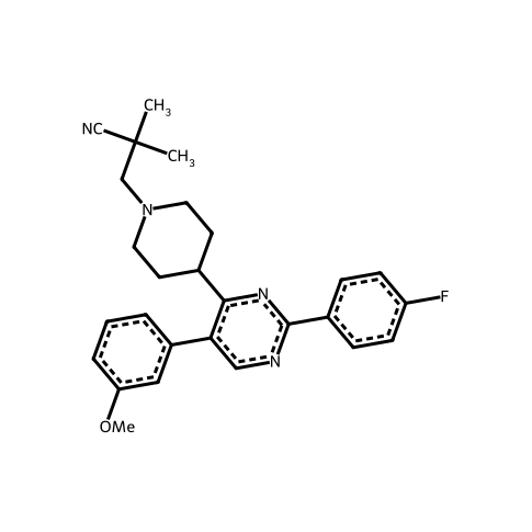 COc1cccc(-c2cnc(-c3ccc(F)cc3)nc2C2CCN(CC(C)(C)C#N)CC2)c1